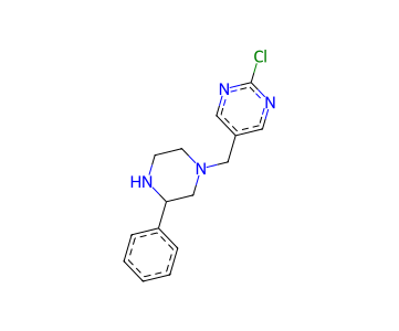 Clc1ncc(CN2CCNC(c3ccccc3)C2)cn1